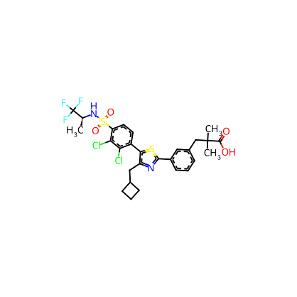 C[C@H](NS(=O)(=O)c1ccc(-c2sc(-c3cccc(CC(C)(C)C(=O)O)c3)nc2CC2CCC2)c(Cl)c1Cl)C(F)(F)F